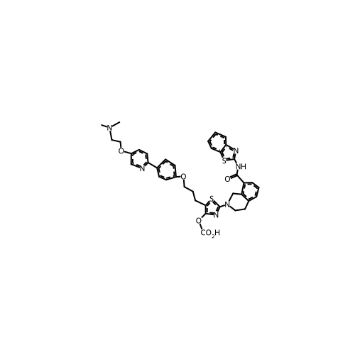 CN(C)CCOc1ccc(-c2ccc(OCCCc3sc(N4CCc5cccc(C(=O)Nc6nc7ccccc7s6)c5C4)nc3OC(=O)O)cc2)nc1